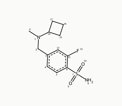 CN(Cc1ccc(S(N)(=O)=O)c(F)c1)C1CCC1